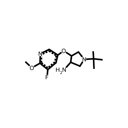 COc1ncc(OC2CN(C(C)(C)C)CC2N)cc1F